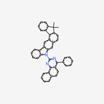 CC1(C)c2ccccc2-c2c1ccc1cc3c(cc21)c1ccccc1n3-c1nc(-c2ccccc2)c2ccc3ccccc3c2n1